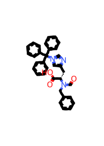 O=CN(Cc1ccccc1)[C@@H](Cc1cn(C(c2ccccc2)(c2ccccc2)c2ccccc2)cn1)C(=O)O